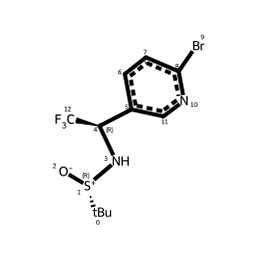 CC(C)(C)[S@+]([O-])N[C@H](c1ccc(Br)nc1)C(F)(F)F